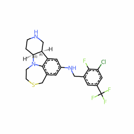 Fc1c(Cl)cc(C(F)(F)F)cc1CNc1cc2c3c(c1)[C@@H]1CNCC[C@@H]1N3CCSC2